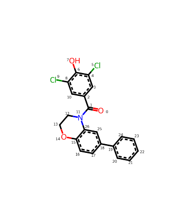 O=C(c1cc(Cl)c(O)c(Cl)c1)N1CCOc2ccc(-c3ccccc3)cc21